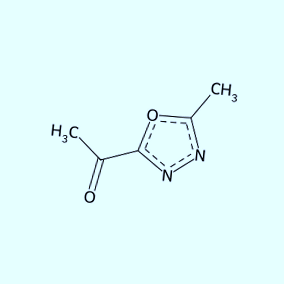 CC(=O)c1nnc(C)o1